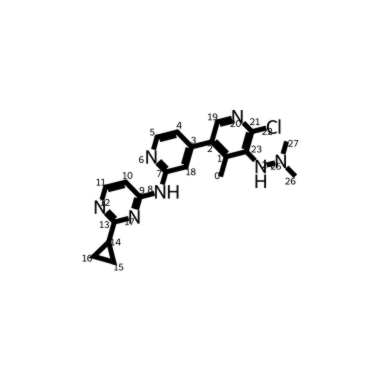 Cc1c(-c2ccnc(Nc3ccnc(C4CC4)n3)c2)cnc(Cl)c1NN(C)C